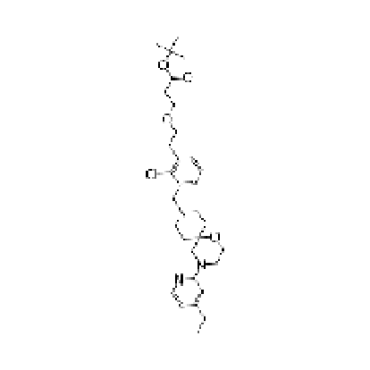 CCc1ccnc(N2CCOC3(CCN(Cc4cccc(CCOCCC(=O)OC(C)(C)C)c4Cl)CC3)C2)c1